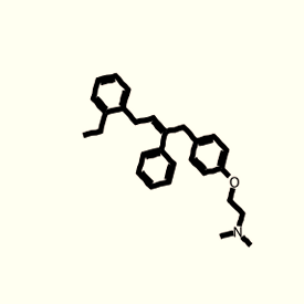 CCc1ccccc1CC=C(Cc1ccc(OCCN(C)C)cc1)c1ccccc1